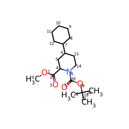 COC(=O)C1CC(C2CCCCC2)CCN1C(=O)OC(C)(C)C